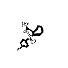 O=C(O)c1ccccc1S(=O)(=O)c1ccc(F)cc1